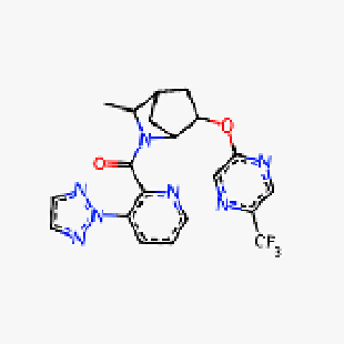 CC1C2CC(Oc3cnc(C(F)(F)F)cn3)C(C2)N1C(=O)c1ncccc1-n1nccn1